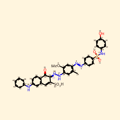 COc1cc(/N=N/c2ccc(S(=O)(=O)Nc3ccc(O)cc3)cc2)c(C)cc1N/N=C1/C(=O)c2ccc(Nc3ccccc3)cc2C=C1S(=O)(=O)O